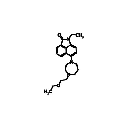 CCOCCN1CCCN(c2ccc3c4c(cccc24)C(=O)N3CC)CC1